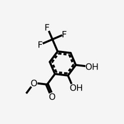 COC(=O)c1cc(C(F)(F)F)cc(O)c1O